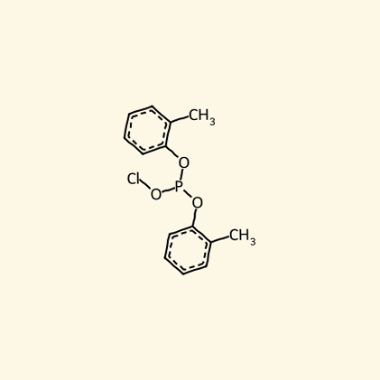 Cc1ccccc1OP(OCl)Oc1ccccc1C